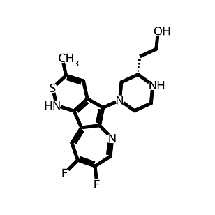 CC1=Cc2c(c3cc(F)c(F)cnc-3c2N2CCN[C@@H](CCO)C2)NS1